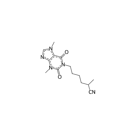 CC(C#N)CCCCn1c(=O)c2c(ncn2C)n(C)c1=O